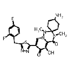 CN1C(=O)c2c(O)c(=O)c(-c3nnc(Cc4ccc(F)cc4F)s3)cn2N(C)C12CCC(N)CC2